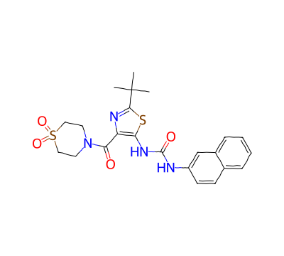 CC(C)(C)c1nc(C(=O)N2CCS(=O)(=O)CC2)c(NC(=O)Nc2ccc3ccccc3c2)s1